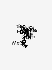 COc1cc(C(=O)NCC(O)(c2cc3c(c(-c4ccc(F)cc4)n2)N(C(=O)OC(C)(C)C)C[C@@]3(C)N[S+]([O-])C(C)(C)C)C(F)(F)F)ccc1OC1CC1